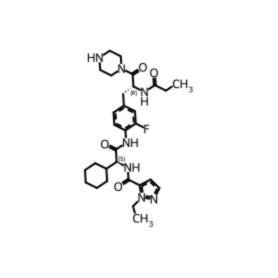 CCC(=O)N[C@H](Cc1ccc(NC(=O)[C@@H](NC(=O)c2ccnn2CC)C2CCCCC2)c(F)c1)C(=O)N1CCNCC1